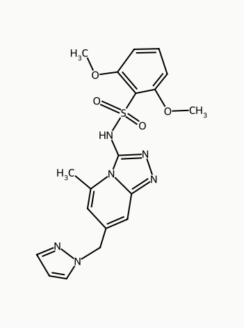 COc1cccc(OC)c1S(=O)(=O)Nc1nnc2cc(Cn3cccn3)cc(C)n12